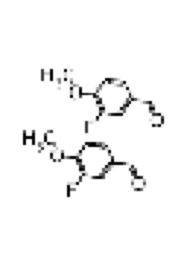 COc1ccc(C=O)cc1F.COc1ccc(C=O)cc1F